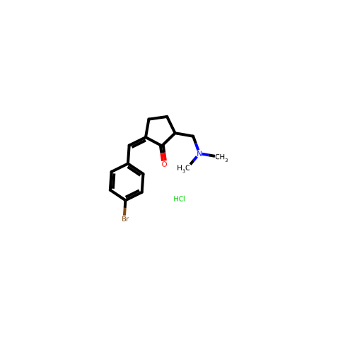 CN(C)CC1CCC(=Cc2ccc(Br)cc2)C1=O.Cl